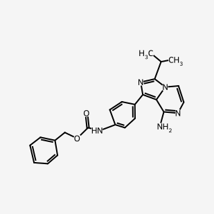 CC(C)c1nc(-c2ccc(NC(=O)OCc3ccccc3)cc2)c2c(N)nccn12